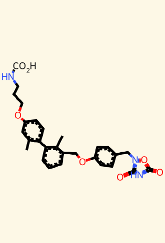 Cc1cc(OCCCNC(=O)O)ccc1-c1cccc(COc2ccc(Cn3oc(=O)[nH]c3=O)cc2)c1C